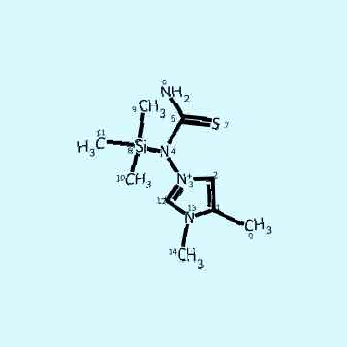 Cc1c[n+](N(C(N)=S)[Si](C)(C)C)cn1C